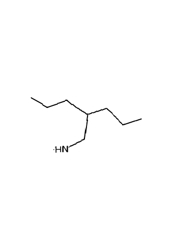 CCCC(C[NH])CCC